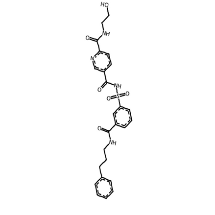 O=C(NCCCc1ccccc1)c1cccc(S(=O)(=O)NC(=O)c2ccc(C(=O)NCCO)nc2)c1